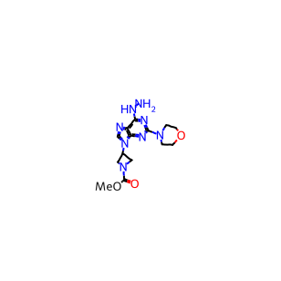 COC(=O)N1CC(n2cnc3c(NN)nc(N4CCOCC4)nc32)C1